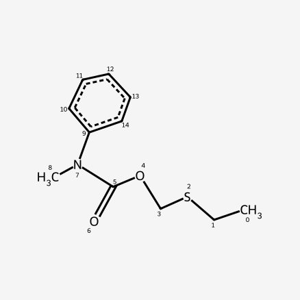 CCSCOC(=O)N(C)c1ccccc1